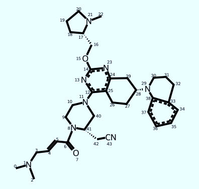 CN(C)C/C=C/C(=O)N1CCN(c2nc(OC[C@@H]3CCCN3C)nc3c2CC[C@@H](N2CCCc4ccccc42)C3)C[C@@H]1CC#N